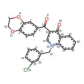 O=C(c1ccc2c(c1)OCCO2)c1cn(Cc2cccc(Cl)c2)c2ccccc2c1=O